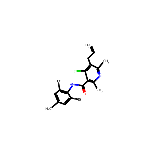 C=CCc1c(C)nc(C)c(C(=O)Nc2c(CC)cc(C)cc2CC)c1Cl